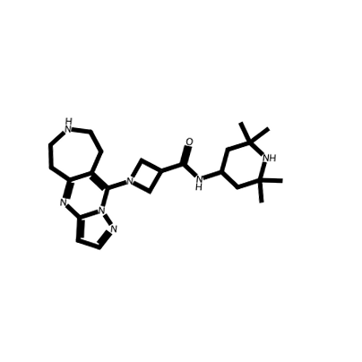 CC1(C)CC(NC(=O)C2CN(c3c4c(nc5ccnn35)CCNCC4)C2)CC(C)(C)N1